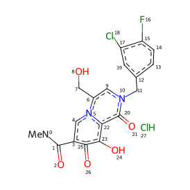 CNC(=O)c1cn2c(CO)cn(Cc3ccc(F)c(Cl)c3)c(=O)c2c(O)c1=O.Cl